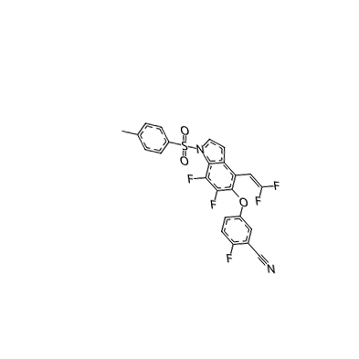 Cc1ccc(S(=O)(=O)n2ccc3c(C=C(F)F)c(Oc4ccc(F)c(C#N)c4)c(F)c(F)c32)cc1